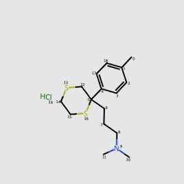 Cc1ccc(C2(CCCN(C)C)CSCCS2)cc1.Cl